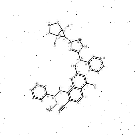 CC[C@@H](Nc1c(C#N)cnc2c(Cl)cc(N[C@H](C3=CN(C4[C@H]5CNC[C@@H]45)NN3)c3cccnc3)cc12)c1ccccc1